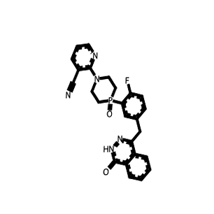 N#Cc1cccnc1N1CCP(=O)(c2cc(Cc3n[nH]c(=O)c4ccccc34)ccc2F)CC1